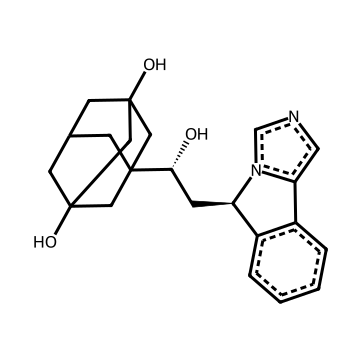 O[C@H](C[C@@H]1c2ccccc2-c2cncn21)C12CC3CC(O)(CC(O)(C3)C1)C2